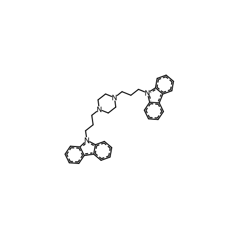 c1ccc2c(c1)c1ccccc1n2CCCN1CCN(CCCn2c3ccccc3c3ccccc32)CC1